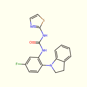 O=C(Nc1nccs1)Nc1cc(F)ccc1N1CCc2ccccc21